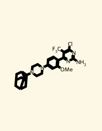 COc1cc(N2CCN(C3C4CC5CC(C4)CC3C5)CC2)ccc1-c1nc(N)nc(Cl)c1C(F)(F)F